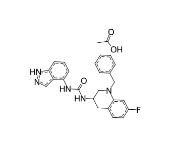 CC(=O)O.O=C(Nc1cccc2[nH]ncc12)NC1Cc2ccc(F)cc2N(Cc2ccccc2)C1